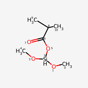 CO[SiH](OC)OC(=O)C(C)C